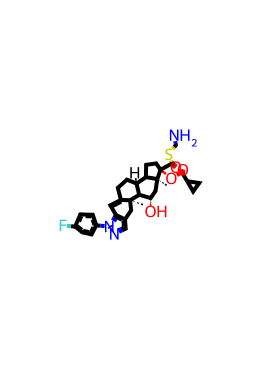 C[C@]12Cc3cnn(-c4ccc(F)cc4)c3C=C1CC[C@@H]1C2[C@@H](O)C[C@@]2(C)C1CC[C@]2(OC(=O)C1CC1)C(=O)SCN